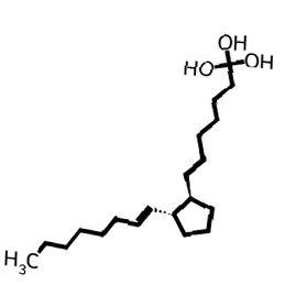 CCCCCC/C=C/[C@H]1CCC[C@@H]1CCCCCCC(O)(O)O